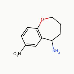 NC1CCCOc2ccc([N+](=O)[O-])cc21